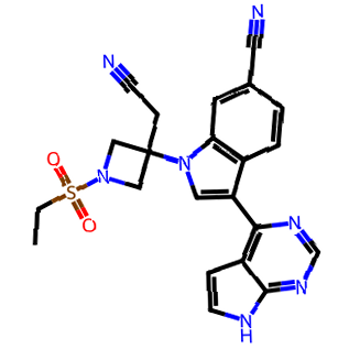 CCS(=O)(=O)N1CC(CC#N)(n2cc(-c3ncnc4[nH]ccc34)c3ccc(C#N)cc32)C1